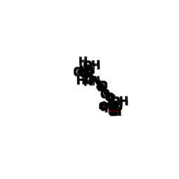 O=C(O)N([C@@H](c1ccccc1)c1cccc(OCc2ccc(CNC[C@H](O)c3ccc(O)c4[nH]c(=O)ccc34)o2)c1)[C@H]1CN2CCC1CC2